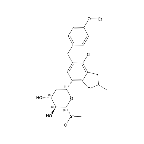 CCOc1ccc(Cc2cc([C@H]3C[C@@H](O)[C@H](O)[C@@H]([S+](C)[O-])O3)c3c(c2Cl)CC(C)O3)cc1